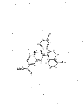 COC(=O)c1ccc2nc(-c3ccc(F)cc3)c(N3CCCc4c(F)cccc43)nc2c1